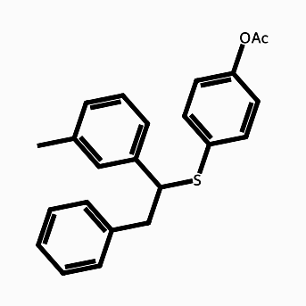 CC(=O)Oc1ccc(SC(Cc2ccccc2)c2cccc(C)c2)cc1